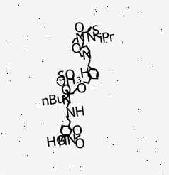 CCCCN(CCNCCc1ccc(O)c2c1OCC(=O)N2)C(=O)CCOCCc1cccc(CCN2CCC3(CC2)CN(C(=O)c2csc(C(C)C)n2)CCO3)c1.O=S(=O)(O)O